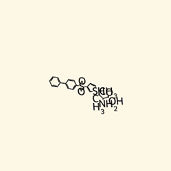 CC(C)(C(N)C(=O)O)[SH]1C=CC(S(=O)(=O)c2ccc(-c3ccccc3)cc2)=C1